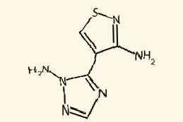 Nc1nscc1-c1ncnn1N